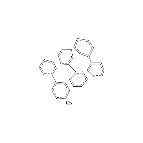 [Os].c1ccc(-c2ccccc2)cc1.c1ccc(-c2ccccc2)cc1.c1ccc(-c2ccccc2)cc1